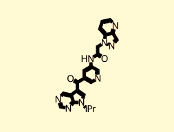 CC(C)n1cc(C(=O)c2cncc(NC(=O)Cn3ncc4ncccc43)c2)c2cncnc21